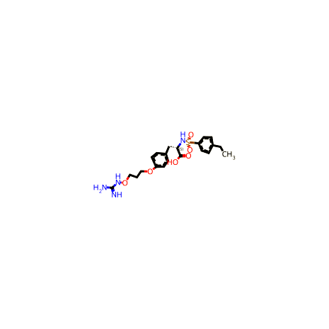 CCc1ccc(S(=O)(=O)N[C@@H](Cc2ccc(OCCCONC(=N)N)cc2)C(=O)O)cc1